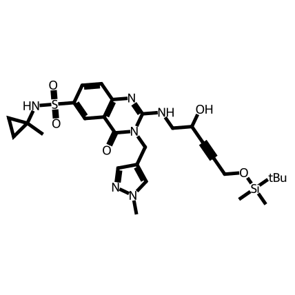 Cn1cc(Cn2c(NCC(O)C#CCO[Si](C)(C)C(C)(C)C)nc3ccc(S(=O)(=O)NC4(C)CC4)cc3c2=O)cn1